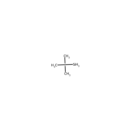 C[I](C)(C)[SiH3]